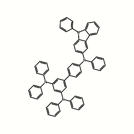 c1ccc(N(c2ccccc2)c2cc(-c3ccc(N(c4ccccc4)c4ccc5c(c4)c4ccccc4n5-c4ccccc4)cc3)cc(N(c3ccccc3)c3ccccc3)c2)cc1